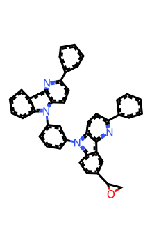 c1ccc(-c2ccc3c(n2)c2ccccc2n3-c2cccc(-n3c4ccc(C5CO5)cc4c4nc(-c5ccccc5)ccc43)c2)cc1